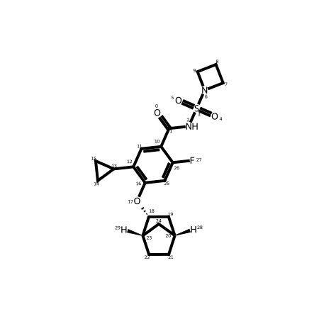 O=C(NS(=O)(=O)N1CCC1)c1cc(C2CC2)c(O[C@@H]2C[C@@H]3CC[C@H]2C3)cc1F